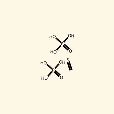 C=S.O=P(O)(O)O.O=P(O)(O)O